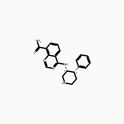 NC(=O)c1cccc2c(N[C@H]3CNCC[C@H]3c3ccccc3)ncnc12